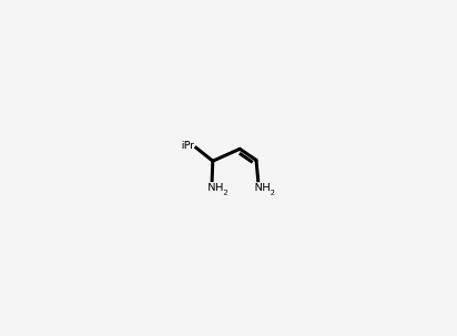 CC(C)C(N)/C=C\N